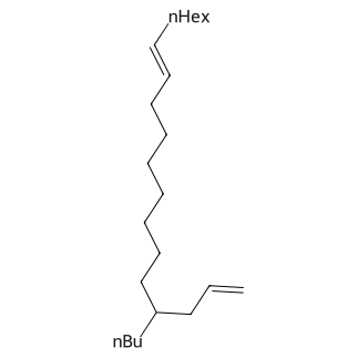 C=CCC(CCCC)CCCCCCCC=CCCCCCC